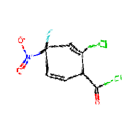 O=C(Cl)C1C=CC(F)([N+](=O)[O-])C=C1Cl